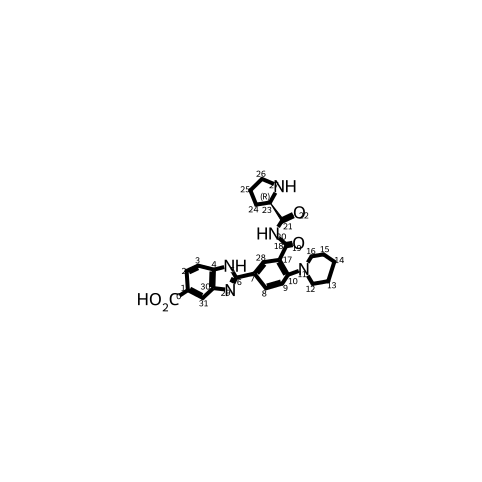 O=C(O)c1ccc2[nH]c(-c3ccc(N4CCCCC4)c(C(=O)NC(=O)[C@H]4CCCN4)c3)nc2c1